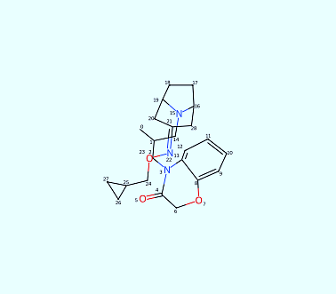 CC(CN1C(=O)COc2ccccc21)CN1C2CCC1CC(=NOCC1CC1)C2